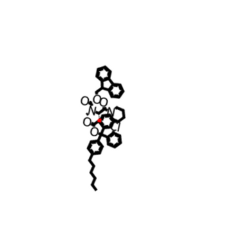 CCCCCCc1ccc(C(OC(=O)C[C@@H](C(=O)N2CCCCC2)N(C)C(=O)OCC2c3ccccc3-c3ccccc32)(c2ccccc2)c2ccccc2Cl)cc1